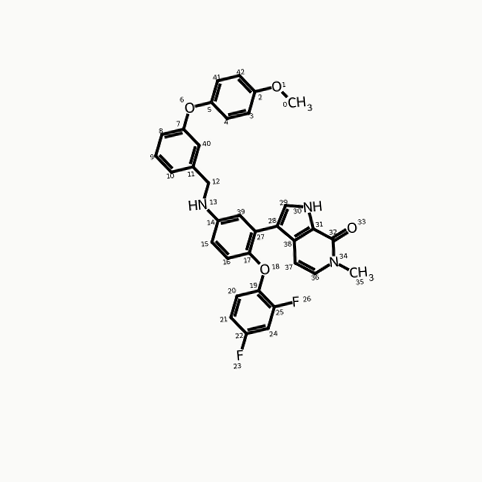 COc1ccc(Oc2cccc(CNc3ccc(Oc4ccc(F)cc4F)c(-c4c[nH]c5c(=O)n(C)ccc45)c3)c2)cc1